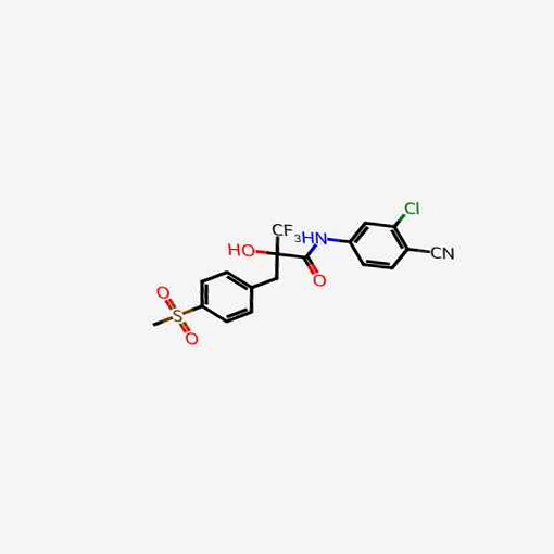 CS(=O)(=O)c1ccc(CC(O)(C(=O)Nc2ccc(C#N)c(Cl)c2)C(F)(F)F)cc1